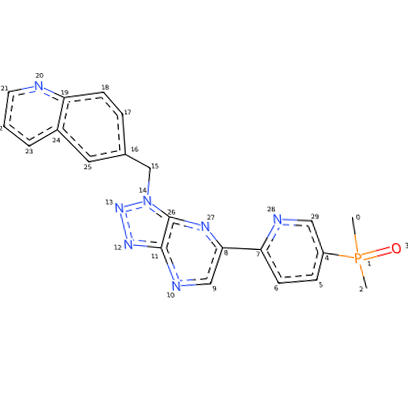 CP(C)(=O)c1ccc(-c2cnc3nnn(Cc4ccc5ncccc5c4)c3n2)nc1